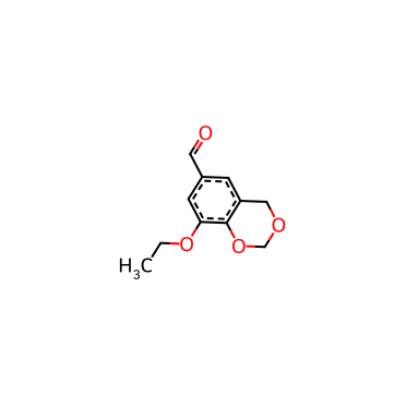 CCOc1cc(C=O)cc2c1OCOC2